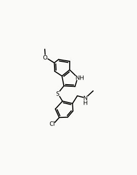 CNCc1ccc(Cl)cc1Sc1c[nH]c2ccc(OC)cc12